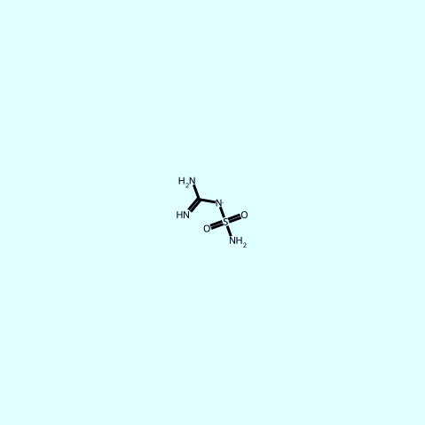 N=C(N)[N]S(N)(=O)=O